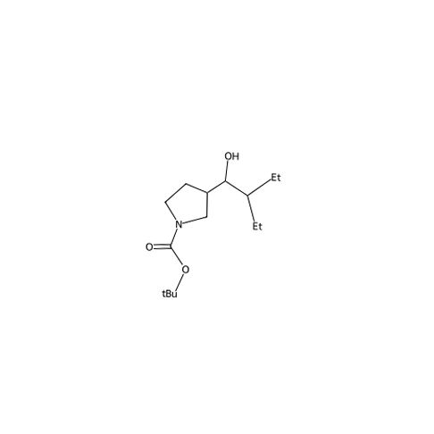 CCC(CC)C(O)C1CCN(C(=O)OC(C)(C)C)C1